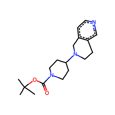 CC(C)(C)OC(=O)N1CCC(N2CCc3cnccc3C2)CC1